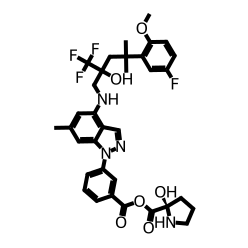 COc1ccc(F)cc1C(C)(C)CC(O)(CNc1cc(C)cc2c1cnn2-c1cccc(C(=O)OC(=O)[C@]2(O)CCCN2)c1)C(F)(F)F